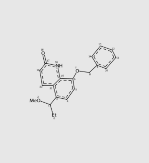 CCC(OC)c1ccc(OCc2ccccc2)c2[nH]c(=O)ccc12